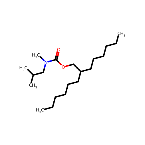 CCCCCCC(CCCCCC)COC(=O)N(C)CC(C)C